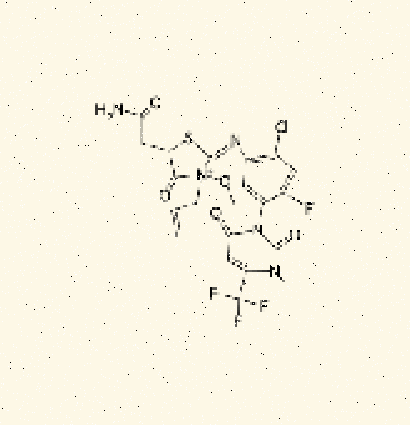 C=CC[N+]1(OC)C(=O)C(CC(N)=O)SC1=Nc1cc(-n2c(=O)cc(C(F)(F)F)n(C)c2=O)c(F)cc1Cl